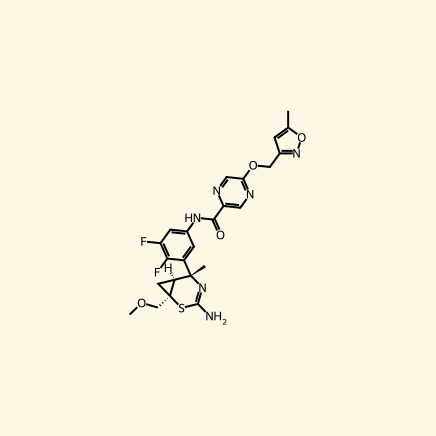 COC[C@]12C[C@H]1[C@](C)(c1cc(NC(=O)c3cnc(OCc4cc(C)on4)cn3)cc(F)c1F)N=C(N)S2